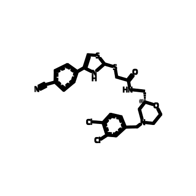 N#Cc1ccc(C2=CSC(SCC(=O)NC[C@H]3CN(Cc4ccc(Cl)c(Cl)c4)CCO3)N2)cc1